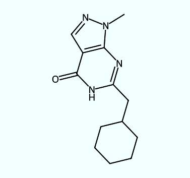 Cn1ncc2c(=O)[nH]c(CC3CCCCC3)nc21